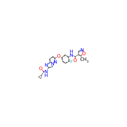 Cc1oncc1C(=O)Nc1cc(Oc2ccc3nc(NC(=O)C4CC4)cn3n2)ccc1F